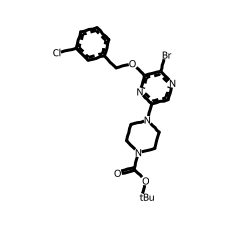 CC(C)(C)OC(=O)N1CCN(c2cnc(Br)c(OCc3cccc(Cl)c3)n2)CC1